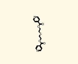 O=C(OCCSCCOC(=O)c1ccncc1)c1ccncc1